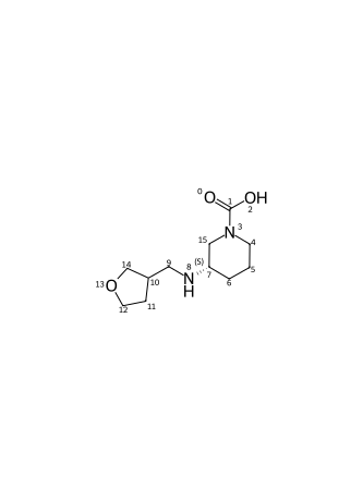 O=C(O)N1CCC[C@H](NCC2CCOC2)C1